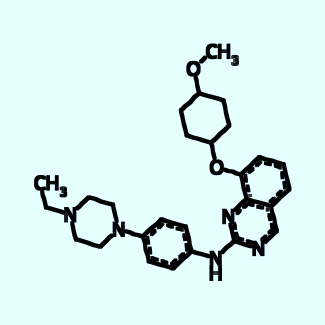 CCN1CCN(c2ccc(Nc3ncc4cccc(OC5CCC(OC)CC5)c4n3)cc2)CC1